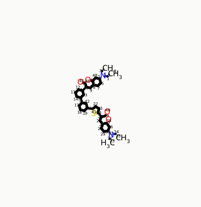 CCN(CC)c1ccc2cc(-c3cccc(-c4cccc(-c5ccc(-c6cc7ccc(N(CC)CC)cc7oc6=O)s5)c4)c3)c(=O)oc2c1